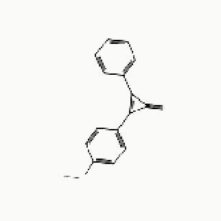 CCCCOc1ccc(-c2c(-c3ccccc3)c2=O)cc1